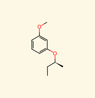 CC[C@H](C)Oc1cccc(OC)c1